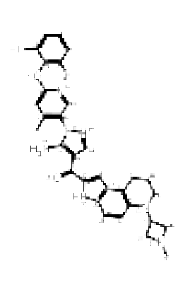 Cc1cc(Oc2c(F)cccc2F)ncc1-n1ncc(C(=O)c2cc3c4c(ccc3[nH]2)N(C2CN(C)C2)CCC4)c1N